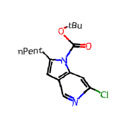 CCCCCc1cc2cnc(Cl)cc2n1C(=O)OC(C)(C)C